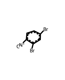 [C-]#[N+]c1ccc(Br)cc1Br